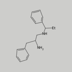 CCC(NCC(N)Cc1ccccc1)c1ccccc1